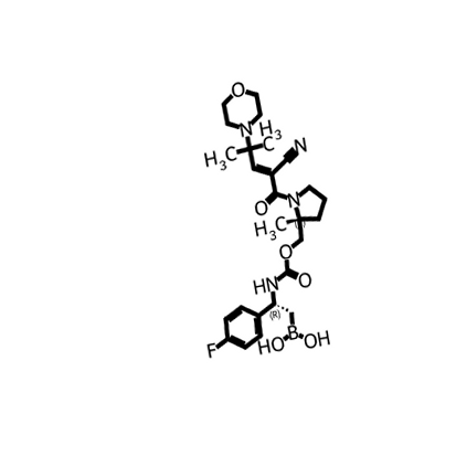 CC(C)(C=C(C#N)C(=O)N1CCC[C@]1(C)COC(=O)N[C@H](CB(O)O)c1ccc(F)cc1)N1CCOCC1